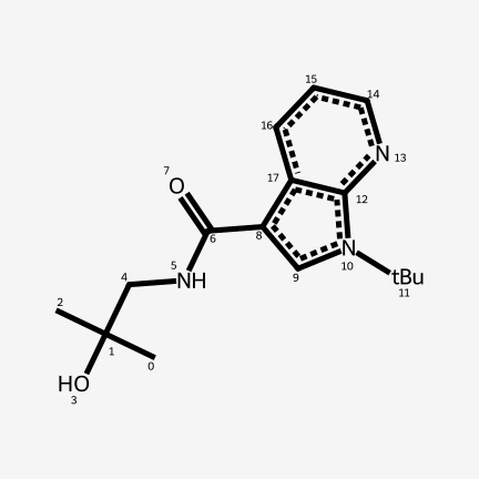 CC(C)(O)CNC(=O)c1cn(C(C)(C)C)c2ncccc12